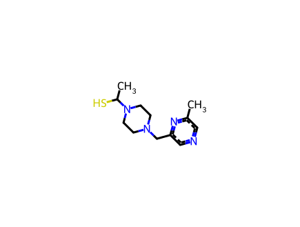 Cc1cncc(CN2CCN(C(C)S)CC2)n1